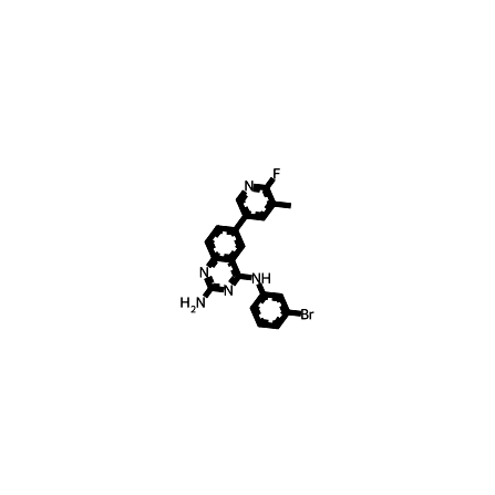 Cc1cc(-c2ccc3nc(N)nc(Nc4cccc(Br)c4)c3c2)cnc1F